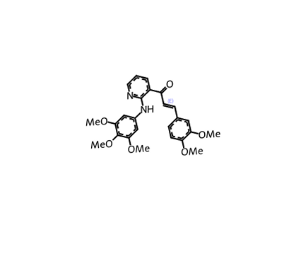 COc1ccc(/C=C/C(=O)c2cccnc2Nc2cc(OC)c(OC)c(OC)c2)cc1OC